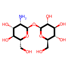 N[C@@H]1[C@@H](O[C@@H]2O[C@H](CO)[C@@H](O)[C@H](O)[C@H]2O)O[C@H](CO)[C@@H](O)[C@@H]1O